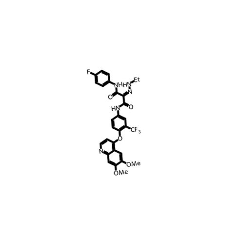 CCN/N=C(\C(=O)Nc1ccc(F)cc1)C(=O)Nc1ccc(Oc2ccnc3cc(OC)c(OC)cc23)c(C(F)(F)F)c1